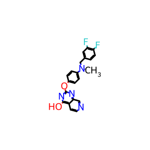 CN(Cc1ccc(F)c(F)c1)c1ccc(Oc2nc(O)c3ccncc3n2)cc1